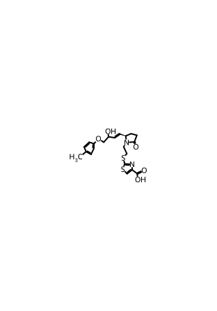 Cc1ccc(OCC(O)/C=C/[C@H]2CCC(=O)N2CCSc2nc(C(=O)O)cs2)cc1